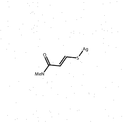 CNC(=O)C=C[S][Ag]